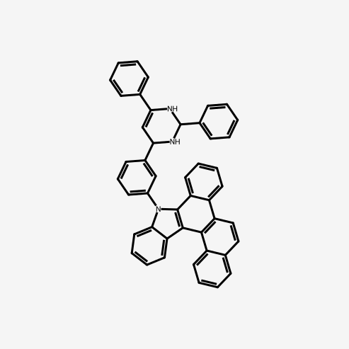 C1=C(c2ccccc2)NC(c2ccccc2)NC1c1cccc(-n2c3ccccc3c3c4c5ccccc5ccc4c4ccccc4c32)c1